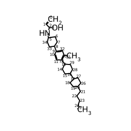 C=CC(O)NC1CCC(c2ccc(C3CCC(C4CCC(CCCCC)CC4)CC3)c(C)c2)CC1